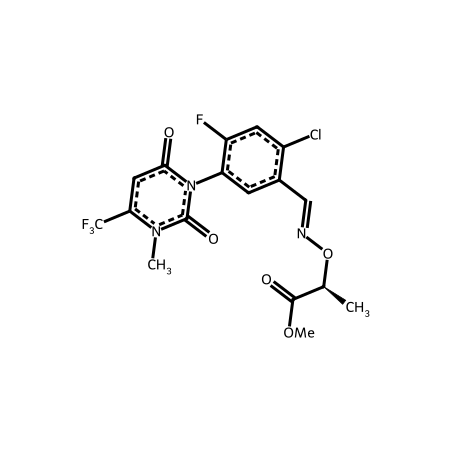 COC(=O)[C@H](C)O/N=C/c1cc(-n2c(=O)cc(C(F)(F)F)n(C)c2=O)c(F)cc1Cl